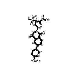 COc1ccc(-c2ccc3c(=O)n(CC[C@](C)(C(=O)NO)S(C)(=O)=O)cc(F)c3c2)cn1